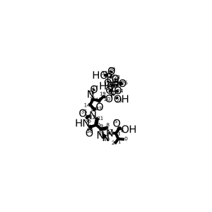 CC(C)C(C(=O)O)n1cc(-c2cn(C3CC(N=O)C(COP(=O)(O)OP(=O)(O)OP(=O)(O)O)O3)c(=O)[nH]c2=O)nn1